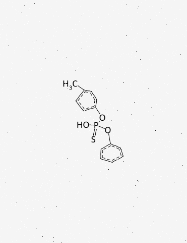 Cc1ccc(OP(O)(=S)Oc2ccccc2)cc1